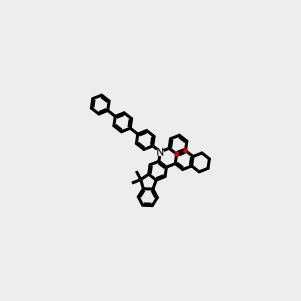 CC1(C)c2ccccc2-c2cc(-c3ccc4c(c3)CCCC4)c(N(c3ccccc3)c3ccc(-c4ccc(-c5ccccc5)cc4)cc3)cc21